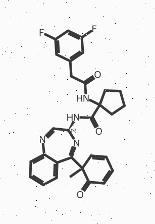 CC1(C2=N[C@H](NC(=O)C3(NC(=O)Cc4cc(F)cc(F)c4)CCCC3)C=Nc3ccccc32)C=CC=CC1=O